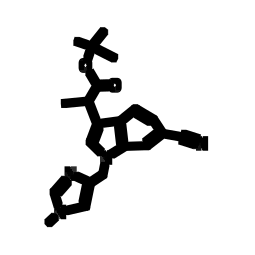 CC(C(=O)OC(C)(C)C)c1cn(Cc2cn(C)cn2)c2cc(C#N)ccc12